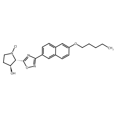 CCCCCOc1ccc2cc(-c3noc([C@@H]4[C@@H](O)CCN4Cl)n3)ccc2c1